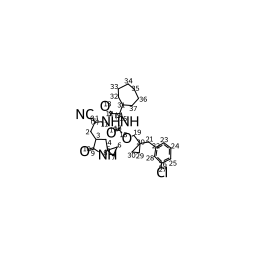 N#C[C@H](CC1CC2(CC2)NC1=O)NC(=O)[C@@H](NC(=O)OCC1(Cc2cccc(Cl)c2)CC1)C1CCCCCC1